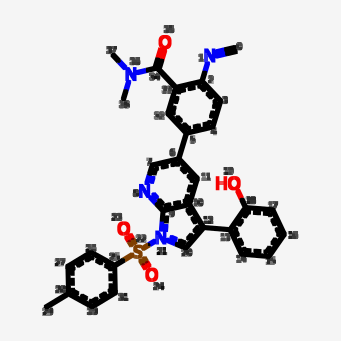 C=Nc1ccc(-c2cnc3c(c2)c(-c2ccccc2O)cn3S(=O)(=O)c2ccc(C)cc2)cc1C(=O)N(C)C